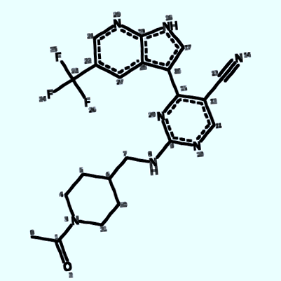 CC(=O)N1CCC(CNc2ncc(C#N)c(-c3c[nH]c4ncc(C(F)(F)F)cc34)n2)CC1